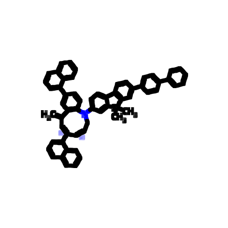 C=C1/C=C(c2cccc3ccccc23)\C=C/CN(c2ccc3c(c2)[Si](C)(C)c2cc(-c4ccc(-c5ccccc5)cc4)ccc2-3)c2ccc(-c3cccc4ccccc34)cc21